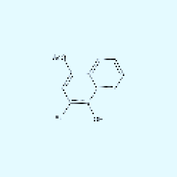 CC(=O)Oc1cc(C(C)=O)c(O)c2ccccc12